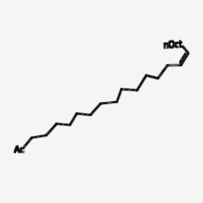 CCCCCCCC/C=C\CCCCCCCCCCCCCC(C)=O